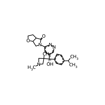 CC(C)c1ccc([C@](O)(c2cnnc(N3CC4OCCC4C3=O)c2)C2(C)CN(C)C2)cc1